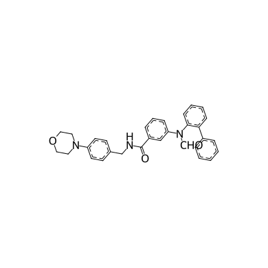 O=CN(c1cccc(C(=O)NCc2ccc(N3CCOCC3)cc2)c1)c1ccccc1-c1ccccc1